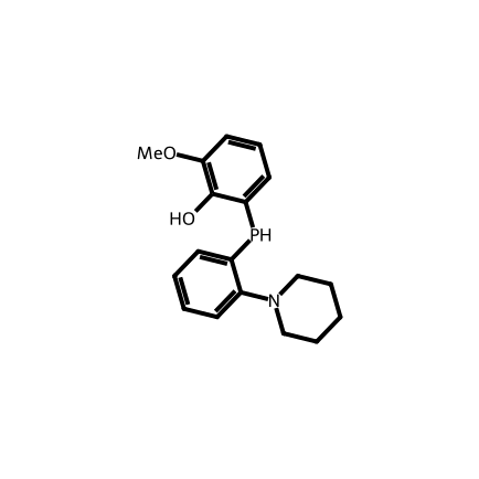 COc1cccc(Pc2ccccc2N2CCCCC2)c1O